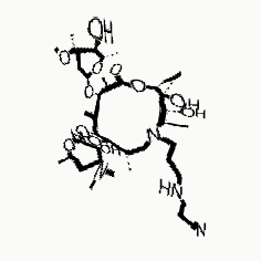 CC[C@H]1OC(=O)[C@H](C)[C@@H](O[C@H]2C[C@@](C)(OC)[C@@H](O)[C@H](C)O2)C(C)[C@@H](O[C@@H]2O[C@H](C)C[C@H](N(C)C)[C@H]2O)[C@](C)(O)C[C@@H](C)CN(CCCNCCC#N)[C@H](C)[C@@H](O)[C@]1(C)O